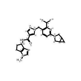 Cn1cnc2c1CC[C@H]2NC(=O)c1cnn(Cc2ccc(N3CC4CC4C3)nc2C(F)F)c1